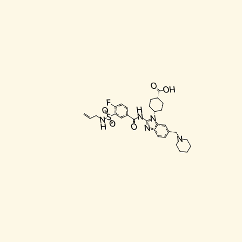 C=CCNS(=O)(=O)c1cc(C(=O)Nc2nc3ccc(CN4CCCCC4)cc3n2[C@H]2CC[C@@H](C(=O)O)CC2)ccc1F